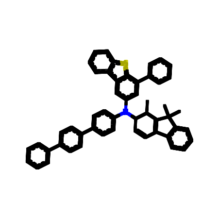 CC1C2=C(C=CC1N(c1ccc(-c3ccc(-c4ccccc4)cc3)cc1)c1cc(-c3ccccc3)c3sc4ccccc4c3c1)c1ccccc1C2(C)C